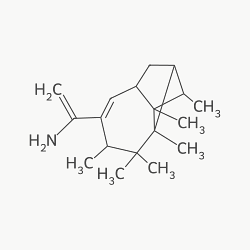 C=C(N)C1=CC2CC3C(C)C2(C)C3(C)C(C)(C)C1C